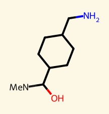 CNC(O)C1CCC(CN)CC1